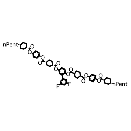 CCCCC[C@H]1CC[C@H](C(=O)Oc2ccc(OC(=O)C3CCC(C(=O)Oc4ccc(OC(=O)[C@H]5CC[C@H](C(=O)Oc6ccc(OC(=O)[C@H]7CC[C@H](CCCCC)CC7)cc6)CC5)cc4-c4cc(F)cc(F)c4)CC3)cc2)CC1